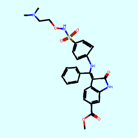 COC(=O)c1ccc2c(c1)NC(=O)/C2=C(\Nc1ccc(S(=O)(=O)NOCCN(C)C)cc1)c1ccccc1